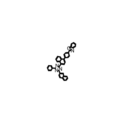 c1ccc(-c2nc(-c3ccc4ccccc4c3)nc(-c3ccc(-c4ccc(-c5nc6ccccc6o5)cc4)c4ccccc34)n2)cc1